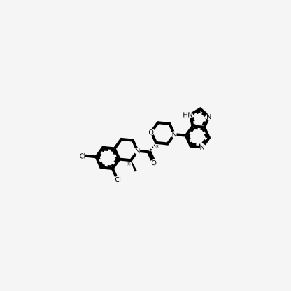 C[C@H]1c2c(Cl)cc(Cl)cc2CCN1C(=O)[C@H]1CN(c2cncc3nc[nH]c23)CCO1